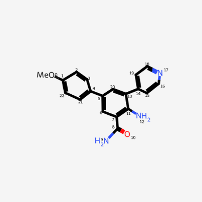 COc1ccc(-c2cc(C(N)=O)c(N)c(-c3ccncc3)c2)cc1